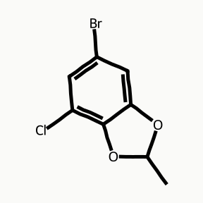 CC1Oc2cc(Br)cc(Cl)c2O1